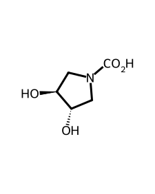 O=C(O)N1C[C@H](O)[C@@H](O)C1